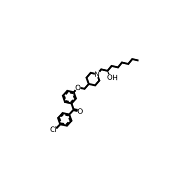 CCCCCC[C@@H](O)CN1CCC(COc2cccc(C(=O)c3ccc(Cl)cc3)c2)CC1